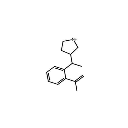 C=C(C)c1ccccc1C(C)C1CCNC1